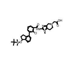 Cn1c(NC(=O)c2cccc(-c3cccc4c3CCC4O[Si](C)(C)C(C)(C)C)c2Cl)nc2c1CCN(CC(=O)O)C2